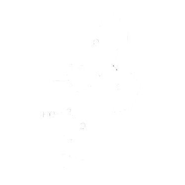 Cc1ccc2c(c1B(O)OC(C)(C)C(C)(C)C)/C(Cl)=C/CCCN2C1CCCCO1